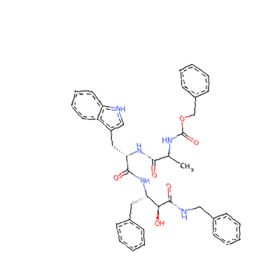 CC(NC(=O)OCc1ccccc1)C(=O)N[C@@H](Cc1c[nH]c2ccccc12)C(=O)N[C@@H](Cc1ccccc1)[C@H](O)C(=O)NCc1ccccc1